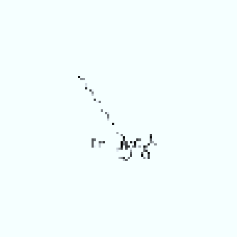 C=C(C)C(=O)Oc1cccc[n+]1CCCCCCCCCCCC.[Br-]